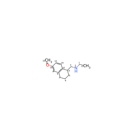 CCNCC1CCCc2cc(OC)ccc21